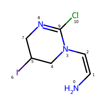 N/C=C\N1CC(I)CN=C1Cl